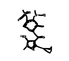 Cc1c(C(=O)c2c(C3CC3)nn(C)c2O)ccc(S(C)(=O)=O)c1[S+](C)[O-]